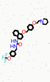 O=C(NCc1ccc(OC(F)(F)F)cc1)Nc1ccc(OCc2ccc(OCCN3CCCCC3)cc2)c2ccccc12